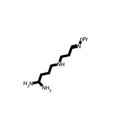 CCCN=CCCNCCCC(N)N